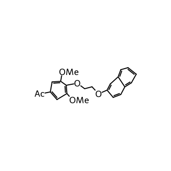 COc1cc(C(C)=O)cc(OC)c1OCCOc1ccc2ccccc2c1